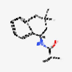 CC(C)C(=O)N[C@@H]1CC(C)(C)Cc2ccccc21